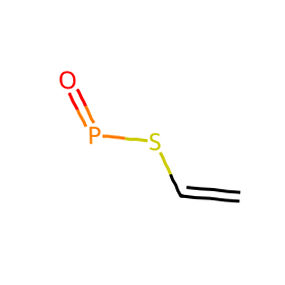 C=CSP=O